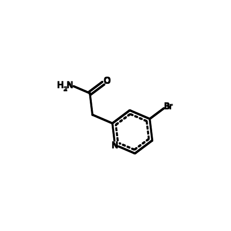 NC(=O)Cc1cc(Br)ccn1